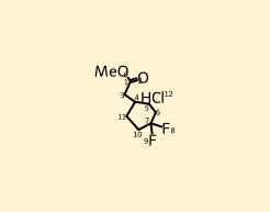 COC(=O)CC1CCC(F)(F)CC1.Cl